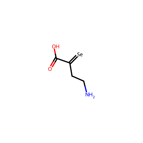 NCCC(=[Se])C(=O)O